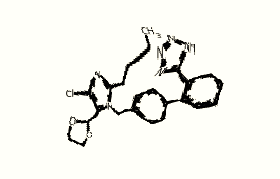 CCCCc1nc(Cl)c(C2OCCO2)n1Cc1ccc(-c2ccccc2-c2nnn[nH]2)cc1